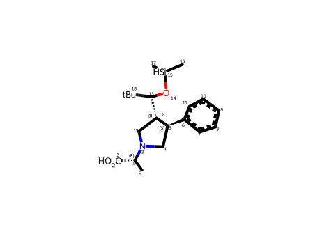 C[C@H](C(=O)O)N1C[C@H](c2ccccc2)[C@@H](C(O[SiH](C)C)C(C)(C)C)C1